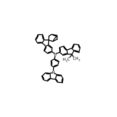 CC1(C)c2ccccc2-c2ccc(N(c3ccc(-n4c5ccccc5c5ccccc54)cc3)c3ccc4c(c3)C3(CC5CCC3C5)c3ccccc3-4)cc21